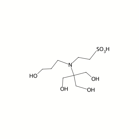 O=S(=O)(O)CCN(CCCO)C(CO)(CO)CO